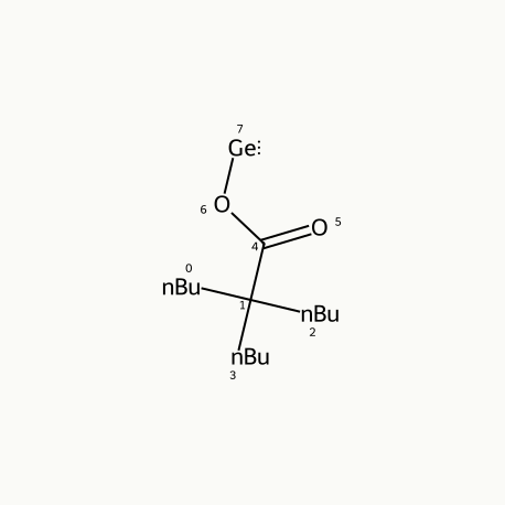 CCCCC(CCCC)(CCCC)C(=O)[O][Ge]